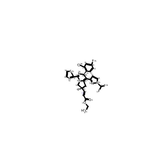 CCOC(=O)/C=C/[C@@]1(F)CC2=C(c3ccn(C(F)F)n3)[C@H](c3ccc(F)cc3Cl)N=C(c3nccs3)N2C1